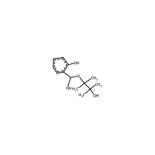 CC(C)(O)C(C)(C)OB(O)c1ccccc1O